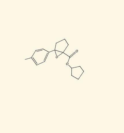 Cc1ccc(C23CCCC2(C(=O)OC2CCCC2)O3)cc1